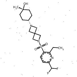 CCc1nc(C(F)F)ccc1S(=O)(=O)N1CC2(C1)CN([C@H]1CC[C@@](C)(O)CC1)C2